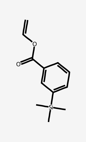 C=COC(=O)c1cccc([Si](C)(C)C)c1